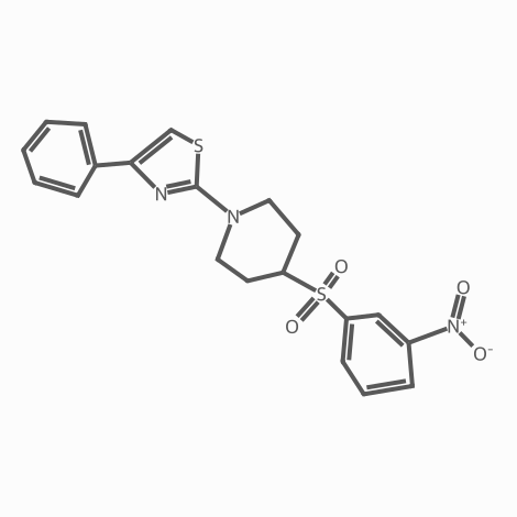 O=[N+]([O-])c1cccc(S(=O)(=O)C2CCN(c3nc(-c4ccccc4)cs3)CC2)c1